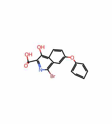 O=C(O)c1nc(Br)c2cc(Oc3ccccc3)ccc2c1O